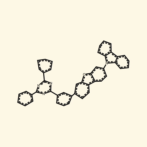 c1ccc(-c2nc(-c3ccccc3)nc(-c3cccc(-c4ccc5c(c4)oc4cc(-n6c7ccccc7c7ccccc76)ccc45)c3)n2)cc1